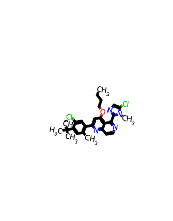 CCCCOc1cc(-c2cc(Cl)c(C(C)(C)C)cc2C)nc2ccnc(-c3ncc(Cl)n3C)c12